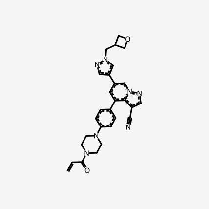 C=CC(=O)N1CCN(c2ccc(-c3cc(-c4cnn(CC5COC5)c4)cn4ncc(C#N)c34)cc2)CC1